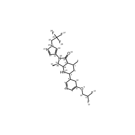 CC1CC(C2C=NC=C(OCC(F)F)C2)NC2C1C(=O)N(c1cnn(CC(F)(F)F)c1)[C@@H]2C